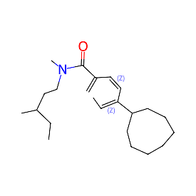 C=C(/C=C\C(=C/C)C1CCCCCCC1)C(=O)N(C)CCC(C)CC